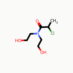 CC(Cl)C(=O)N(CCO)CCO